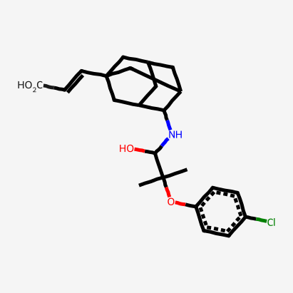 CC(C)(Oc1ccc(Cl)cc1)C(O)NC1C2CC3CC1CC(/C=C/C(=O)O)(C3)C2